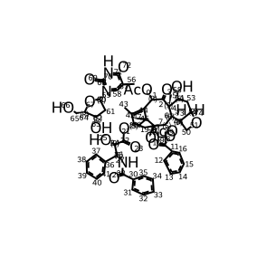 CC(=O)O[C@H]1C(=O)[C@@]2(C)[C@H]([C@H](OC(=O)c3ccccc3)[C@]3(O)C[C@H](OC(=O)[C@H](O)[C@@H](NC(=O)c4ccccc4)c4ccccc4)C(C)=C1C3(C)C)[C@]1(OC(C)=O)CO[C@@H]1C[C@@H]2O.Cc1cn([C@H]2C[C@H](O)[C@@H](CO)O2)c(=O)[nH]c1=O